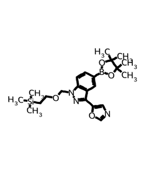 CC1(C)OB(c2ccc3c(c2)c(-c2cnco2)nn3COCC[Si](C)(C)C)OC1(C)C